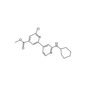 COC(=O)c1cc(Cl)nc(-c2ccnc(NC3CCCCC3)c2)c1